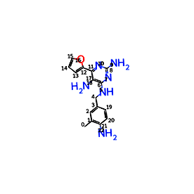 Cc1cc(CNc2nc(N)nc(-c3ccco3)c2N)ccc1N